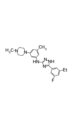 CCc1cc(F)cc(-c2nc(Nc3cc(C)cc(N4CCN(C)CC4)c3)n[nH]2)c1